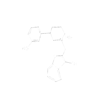 Br.Cc1c(CN2CCCC(c3cccc(O)c3)C2)oc2ccccc12